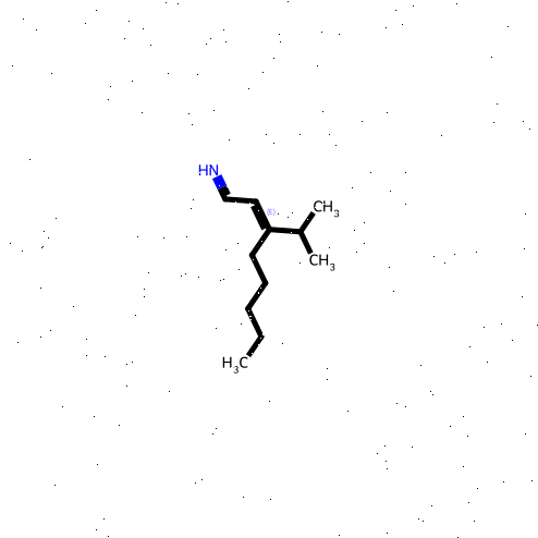 CCCCC/C(=C\C=N)C(C)C